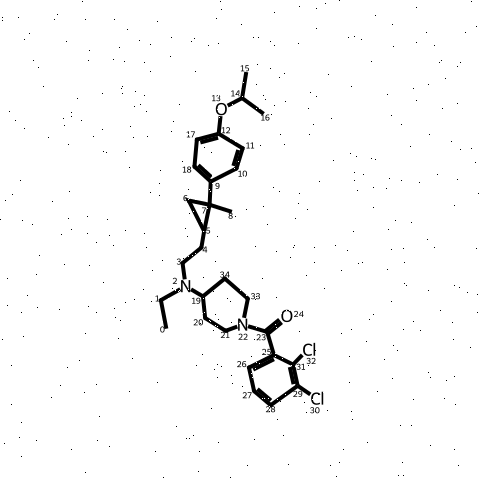 CCN(CCC1CC1(C)c1ccc(OC(C)C)cc1)C1CCN(C(=O)c2cccc(Cl)c2Cl)CC1